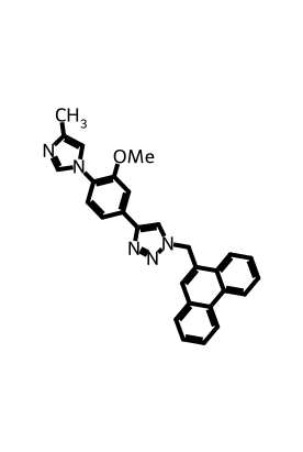 COc1cc(-c2cn(Cc3cc4ccccc4c4ccccc34)nn2)ccc1-n1cnc(C)c1